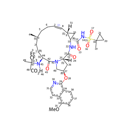 CC[C@@H]1C[C@@H](C)CC/C=C\[C@@H]2C[C@@]2(C(=O)NS(=O)(=O)C2(C)CC2)NC(=O)[C@@H]2C[C@@H](Oc3nccc4c(OC)cccc34)CN2C(=O)[C@H]1N(C(=O)O)C(C)(C)C(F)(F)F